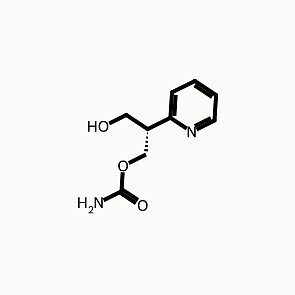 NC(=O)OC[C@H](CO)c1ccccn1